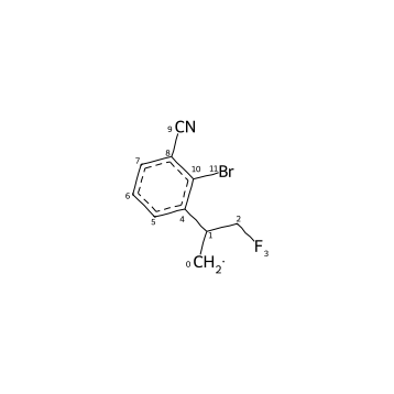 [CH2]C(CF)c1cccc(C#N)c1Br